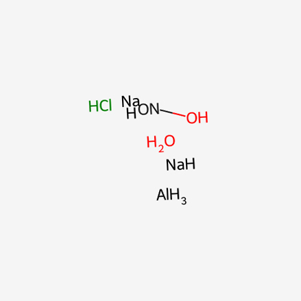 Cl.O.O=NO.[AlH3].[NaH].[NaH]